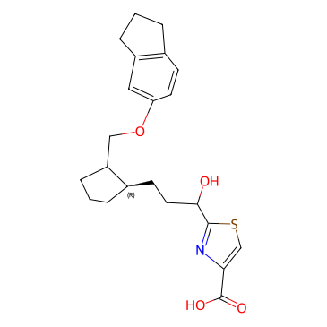 O=C(O)c1csc(C(O)CC[C@H]2CCCC2COc2ccc3c(c2)CCC3)n1